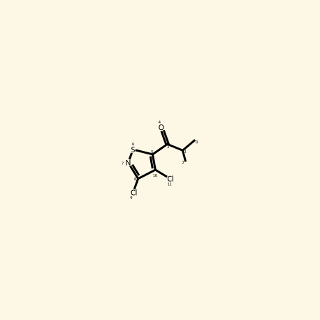 CC(C)C(=O)c1snc(Cl)c1Cl